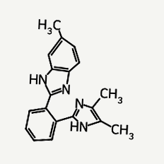 Cc1ccc2nc(-c3ccccc3-c3nc(C)c(C)[nH]3)[nH]c2c1